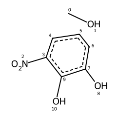 CO.O=[N+]([O-])c1cccc(O)c1O